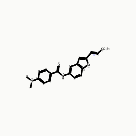 CCOC(=O)/C=C/c1cc2cc(NC(=O)c3ccc(N(C)C)cc3)ccc2[nH]1